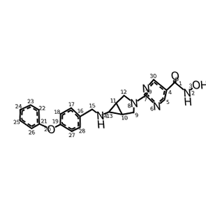 O=C(NO)c1cnc(N2CC3C(C2)C3NCc2ccc(Oc3ccccc3)cc2)nc1